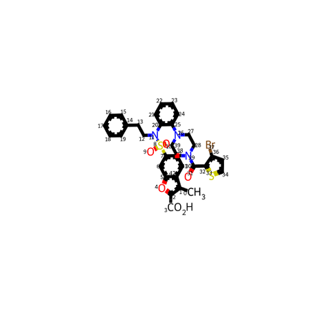 Cc1c(C(=O)O)oc2cc(S(=O)(=O)N(CCc3ccccc3)c3ccccc3N3CCN(C(=O)c4sccc4Br)CC3)ccc12